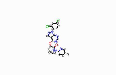 COCC(Oc1ncnc2c1cnn2-c1ccc(Cl)cc1Cl)C(=O)Nc1ccc(C)cn1